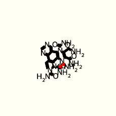 NC(=O)c1c(C(N)=O)n(C(N)=O)c2c(c3cncnc3c3ccn(C(N)=O)n(C(N)=O)c32)n1C(N)=O